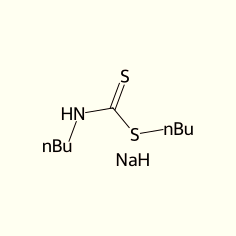 CCCCNC(=S)SCCCC.[NaH]